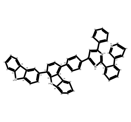 c1ccc(-c2cc(-c3ccc(-c4ccc(-c5ccc6oc7ccccc7c6c5)c5oc6ccccc6c45)cc3)nc(-c3ccccc3-c3cccnc3)n2)cc1